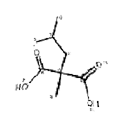 CC(C)CC(C)(C(=O)O)C(=O)O